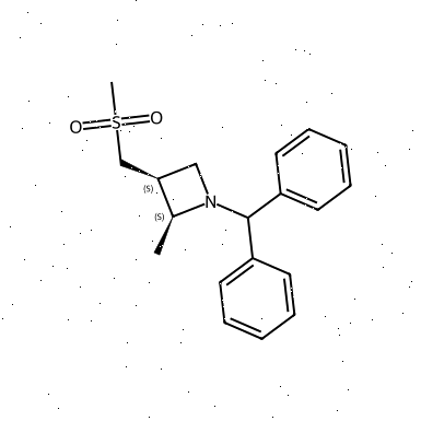 C[C@H]1[C@@H](CS(C)(=O)=O)CN1C(c1ccccc1)c1ccccc1